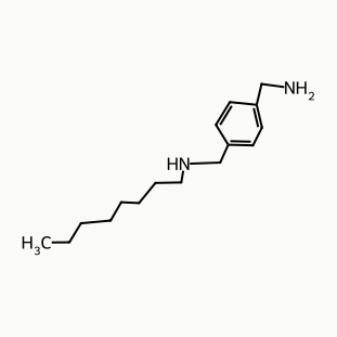 CCCCCCCCNCc1ccc(CN)cc1